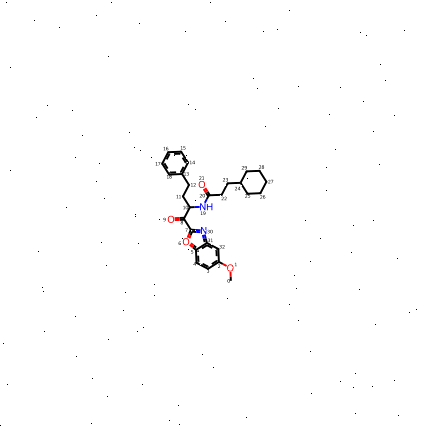 COc1ccc2oc(C(=O)C(CCc3ccccc3)NC(=O)CCC3CCCCC3)nc2c1